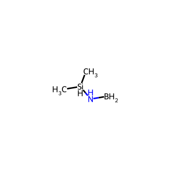 BN[SiH](C)C